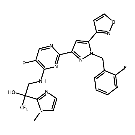 Cn1ccnc1C(O)(CNc1nc(-c2cc(-c3ccon3)n(Cc3ccccc3F)n2)ncc1F)C(F)(F)F